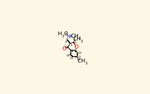 CC(=O)C(=CN(C)C)C(=O)c1ccc(C)cc1